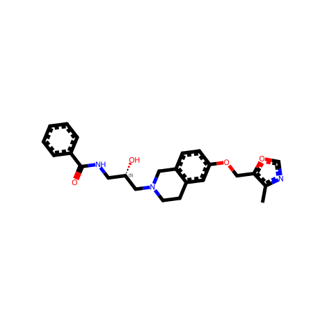 Cc1ncoc1COc1ccc2c(c1)CCN(C[C@@H](O)CNC(=O)c1ccccc1)C2